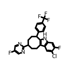 Fc1cnc(C2CCc3c([nH]c4cc(F)c(Cl)cc34)C(c3ccc(C(F)(F)F)cc3)CC2)nc1